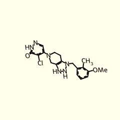 COc1cccc(CN2NNC3=C2CCN(c2cn[nH]c(=O)c2Cl)C3)c1C